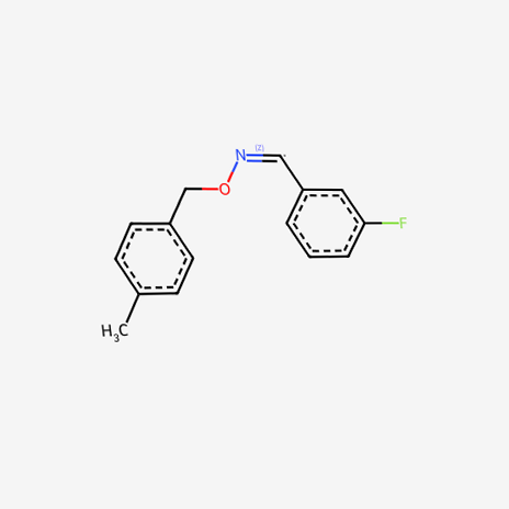 Cc1ccc(CO/N=[C]\c2cccc(F)c2)cc1